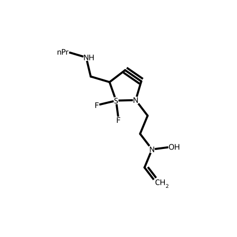 C=CN(O)CCN1C#CC(CNCCC)S1(F)F